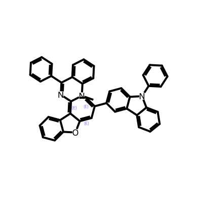 C\C=C(/C=c1/oc2ccccc2/c1=C1\N=C(c2ccccc2)c2ccccc2N1C)c1ccc2c(c1)c1ccccc1n2-c1ccccc1